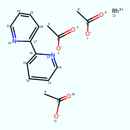 CC(=O)[O-].CC(=O)[O-].CC(=O)[O-].[Rh+3].c1ccc(-c2ccccn2)nc1